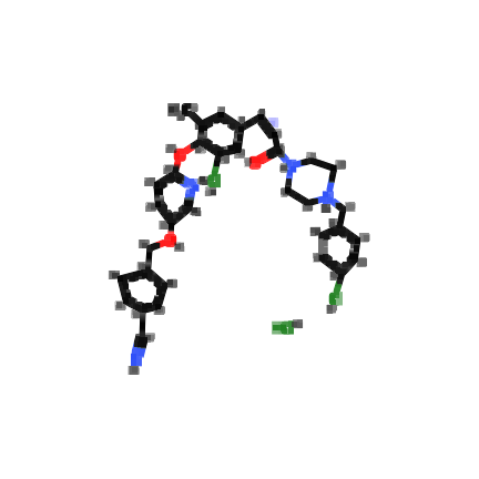 Cc1cc(/C=C\C(=O)N2CCN(Cc3ccc(Cl)cc3)CC2)cc(Cl)c1Oc1ccc(OCc2ccc(C#N)cc2)cn1.Cl